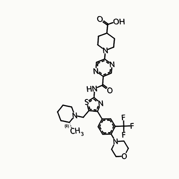 C[C@@H]1CCCCN1Cc1sc(NC(=O)c2cnc(N3CCC(C(=O)O)CC3)cn2)nc1-c1ccc(N2CCOCC2)c(C(F)(F)F)c1